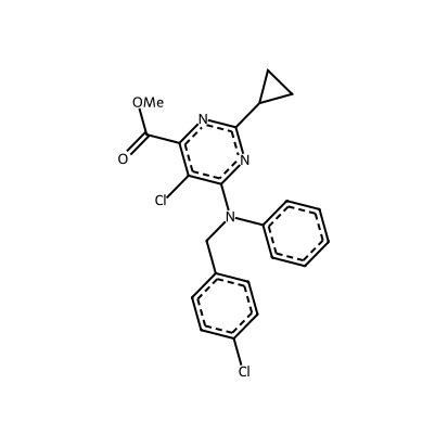 COC(=O)c1nc(C2CC2)nc(N(Cc2ccc(Cl)cc2)c2ccccc2)c1Cl